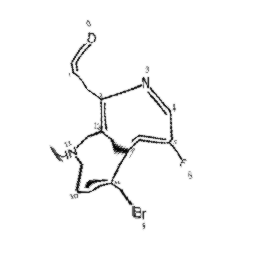 O=Cc1ncc(F)c2c(Br)c[nH]c12